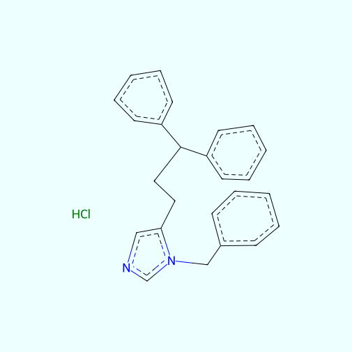 Cl.c1ccc(Cn2cncc2CCC(c2ccccc2)c2ccccc2)cc1